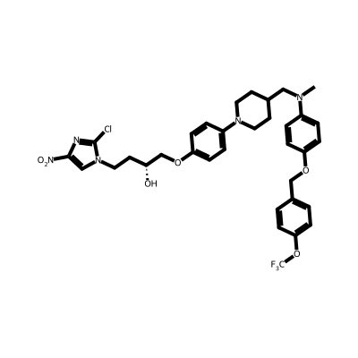 CN(CC1CCN(c2ccc(OC[C@H](O)CCn3cc([N+](=O)[O-])nc3Cl)cc2)CC1)c1ccc(OCc2ccc(OC(F)(F)F)cc2)cc1